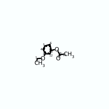 CCOc1cccc(OC(C)=O)c1